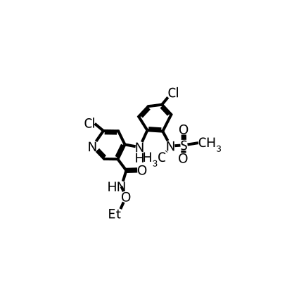 CCONC(=O)c1cnc(Cl)cc1Nc1ccc(Cl)cc1N(C)S(C)(=O)=O